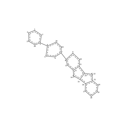 c1ccc(-c2ccc(-c3ccc4c(c3)sc3c5ccccc5sc43)cc2)cc1